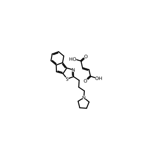 C1=CCC2=c3nc(CCCN4CCCC4)sc3=CC2=C1.O=C(O)C=CC(=O)O